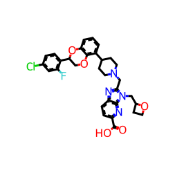 O=C(O)c1ccc2nc(CN3CCC(c4cccc5c4OCC(c4ccc(Cl)cc4F)O5)CC3)n(CC3CCO3)c2n1